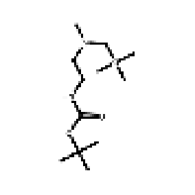 CN(CCNC(=O)OC(C)(C)C)C[Si](C)(C)C